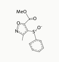 COC(=O)c1onc(C)c1[S+]([O-])c1ccccc1